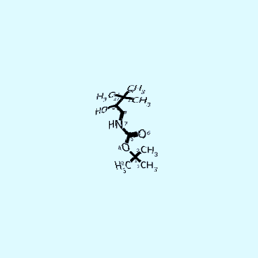 CC(C)(C)OC(=O)NCC(O)C(C)(C)C